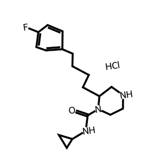 Cl.O=C(NC1CC1)N1CCNCC1CCCCc1ccc(F)cc1